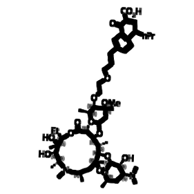 CCCC1C=C(C(=O)O)C(=O)c2cc(C=CCOCCO[C@H]3[C@H](C)OC(O[C@H]4[C@H](C)[C@@H](O[C@@H]5O[C@H](C)C[C@H](N(C)C)[C@H]5O)[C@](C)(O)C[C@@H](C)CN(C)[C@H](C)[C@H](O)[C@](C)(O)[C@@H](CC)OC(=O)[C@@H]4C)C[C@@]3(C)OC)ccc21